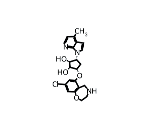 Cc1ccnc2c1ccn2[C@@H]1C[C@H](Oc2cc(Cl)cc3c2CNCCO3)[C@@H](O)[C@H]1O